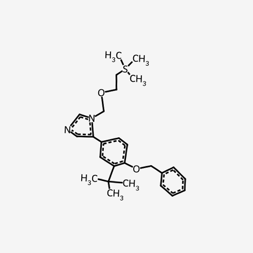 CC(C)(C)c1cc(-c2cncn2COCCS(C)(C)C)ccc1OCc1ccccc1